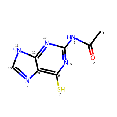 CC(=O)Nc1nc(S)c2nc[nH]c2n1